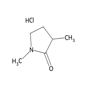 CC1CCN(C)C1=O.Cl